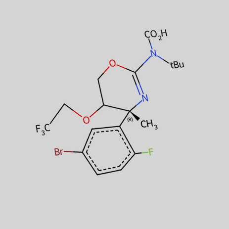 CC(C)(C)N(C(=O)O)C1=N[C@](C)(c2cc(Br)ccc2F)C(OCC(F)(F)F)CO1